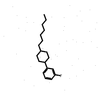 CCCCCCCC1CCC(c2cc[c]c(F)c2)CC1